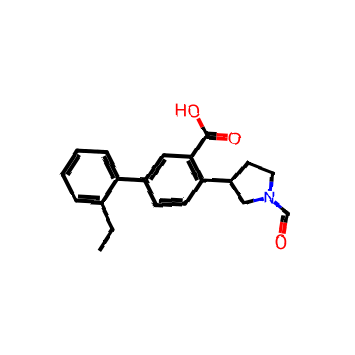 CCc1ccccc1-c1ccc(C2CCN(C=O)C2)c(C(=O)O)c1